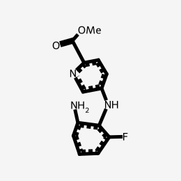 COC(=O)c1ccc(Nc2c(N)cccc2F)cn1